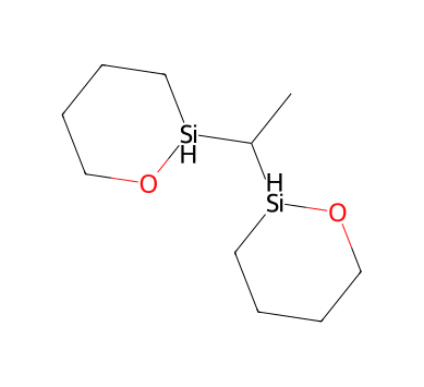 CC([SiH]1CCCCO1)[SiH]1CCCCO1